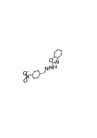 O=[N+]([O-])c1ccc(C=NNc2nc3ccccc3o2)cc1